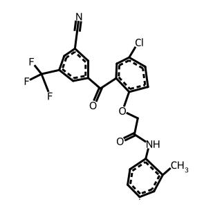 Cc1c[c]ccc1NC(=O)COc1ccc(Cl)cc1C(=O)c1cc(C#N)cc(C(F)(F)F)c1